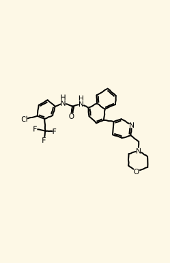 O=C(Nc1ccc(Cl)c(C(F)(F)F)c1)Nc1ccc(-c2ccc(CN3CCOCC3)nc2)c2ccccc12